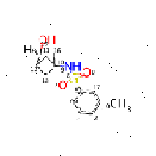 Cc1cccc(S(=O)(=O)NC23CC(C2)[C@@H](O)C3)c1